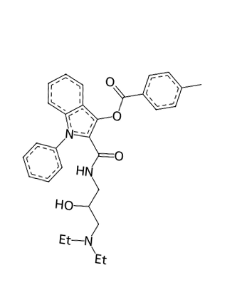 CCN(CC)CC(O)CNC(=O)c1c(OC(=O)c2ccc(C)cc2)c2ccccc2n1-c1ccccc1